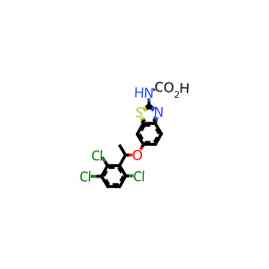 CC(Oc1ccc2nc(NC(=O)O)sc2c1)c1c(Cl)ccc(Cl)c1Cl